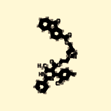 CC1=C(C(=O)OCCn2cc(COC(=O)c3ccc4c(c3)C(=O)c3ccccc3-4)nn2)C(c2ccc(F)cc2Cl)N=C(c2ccncc2)N1